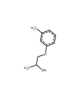 Cc1cccc(OCC(C)O)c1